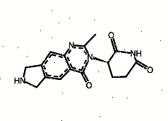 Cc1nc2cc3c(cc2c(=O)n1[C@@H]1CCC(=O)NC1=O)CNC3